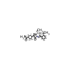 CCCC1=NN(c2ccc(C(N)=O)cc2)C(=O)/C1=C/Nc1ccccc1CC